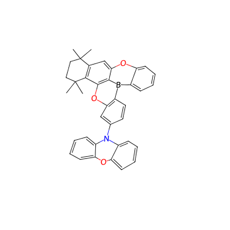 CC1(C)CCC(C)(C)c2c1cc1c3c2Oc2cc(N4c5ccccc5Oc5ccccc54)ccc2B3c2ccccc2O1